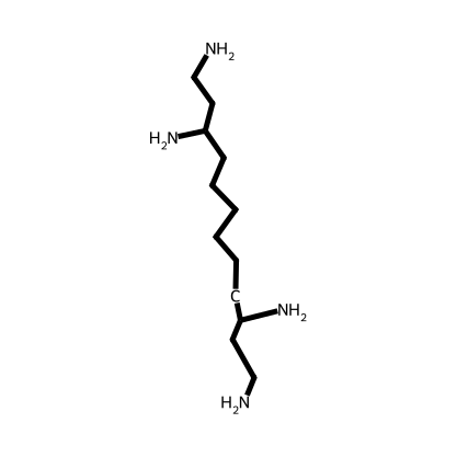 NCCC(N)CCCCCCC(N)CCN